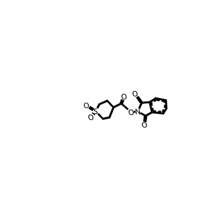 O=C(ON1C(=O)c2ccccc2C1=O)C1CCS(=O)(=O)CC1